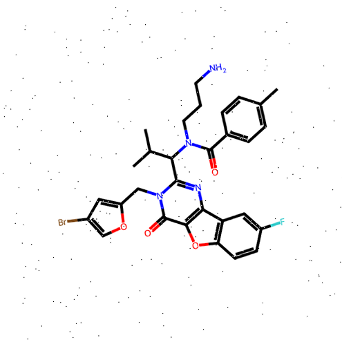 Cc1ccc(C(=O)N(CCCN)C(c2nc3c(oc4ccc(F)cc43)c(=O)n2Cc2cc(Br)co2)C(C)C)cc1